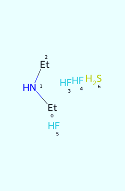 CCNCC.F.F.F.S